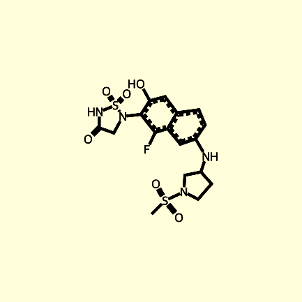 CS(=O)(=O)N1CCC(Nc2ccc3cc(O)c(N4CC(=O)NS4(=O)=O)c(F)c3c2)C1